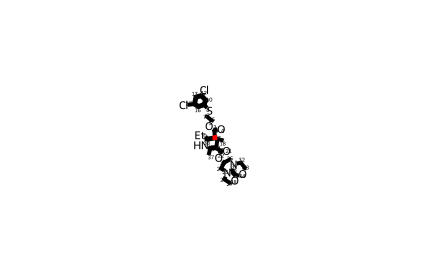 CCC1=C(C(=O)OCCSc2cc(Cl)cc(Cl)c2)C(C)C(C(=O)OC2CN3CCOC4=C3N(CCO4)C2)=C(C)N1